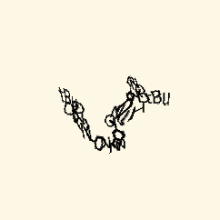 CN1CCC[C@@H]1c1cc2cnc(NC(=O)c3ccc4c(c3)c(N3CCC(CN5CCN(C(=O)OC(C)(C)C)CC5)CC3)nn4C)cc2n1C(=O)OC(C)(C)C